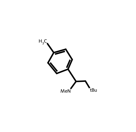 CNC(CC(C)(C)C)c1ccc(C)cc1